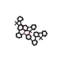 CC1(C)c2ccccc2-c2ccc(-c3ccccc3N(c3ccc(-c4ccccc4-c4cccc5c4C(C)(C)c4ccccc4-5)cc3)c3cccc4c3C(C)(C)c3ccccc3-4)cc21